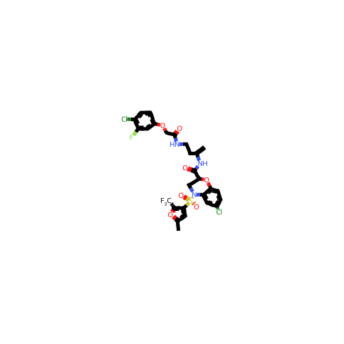 C=C(CCNC(=O)COc1ccc(Cl)c(F)c1)NC(=O)C1CN(S(=O)(=O)c2cc(C)oc2C(F)(F)F)c2cc(Cl)ccc2O1